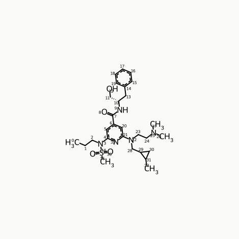 CCCN(c1cc(C(=O)N[C@H](CO)Cc2ccccc2)cc(N(CCN(C)C)CC2CC2C)n1)S(C)(=O)=O